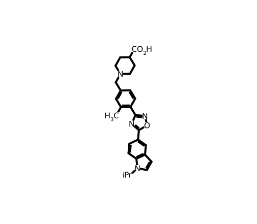 Cc1cc(CN2CCC(C(=O)O)CC2)ccc1-c1noc(-c2ccc3c(ccn3C(C)C)c2)n1